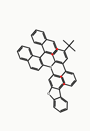 CC(C)(C)c1ccc(N(c2ccc3c(c2)oc2ccccc23)c2ccc3ccccc3c2-c2cccc3ccccc23)c(-c2ccccc2)c1